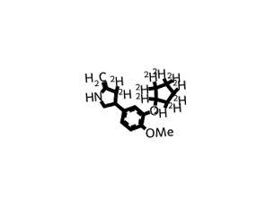 [2H]C1([2H])C(=C)NCC1c1ccc(OC)c(OC2([2H])C([2H])([2H])C([2H])([2H])C([2H])([2H])C2([2H])[2H])c1